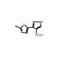 Cc1ncc(-c2n[nH]cc2C(=O)O)s1